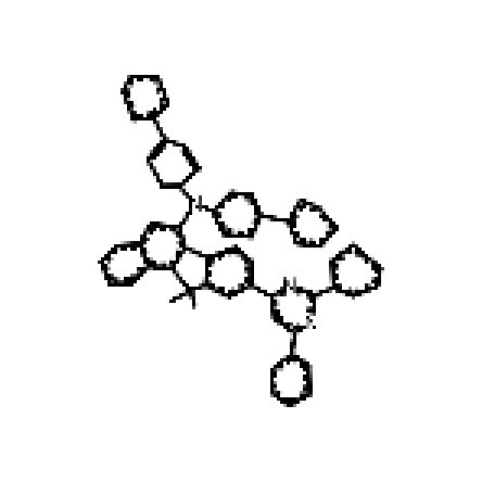 CC1(C)c2cc(-c3cc(-c4ccccc4)nc(-c4ccccc4)n3)ccc2-c2c(N(c3ccc(-c4ccccc4)cc3)C3C=CC(c4ccccc4)=CC3)cc3ccccc3c21